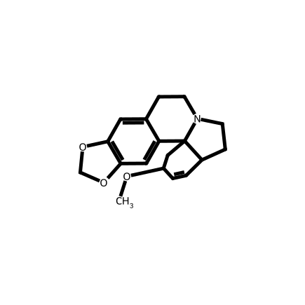 COC1C=CC2CCN3CCc4cc5c(cc4C23C1)OCO5